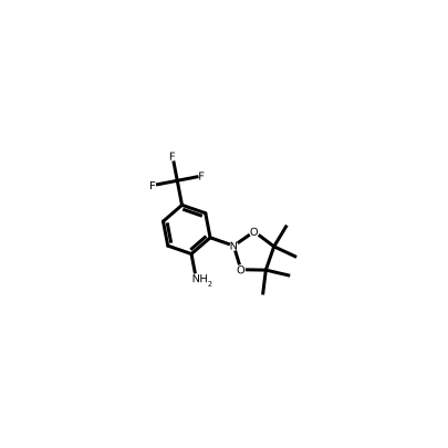 CC1(C)ON(c2cc(C(F)(F)F)ccc2N)OC1(C)C